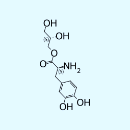 N[C@@H](Cc1ccc(O)c(O)c1)C(=O)OC[C@@H](O)CO